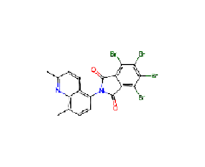 Cc1ccc2c(N3C(=O)c4c(Br)c(Br)c(Br)c(Br)c4C3=O)ccc(C)c2n1